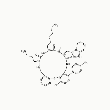 CN1C(=O)[C@H](CCCCCN)NC(=O)[C@H](CCCN)NCc2cccnc2Sc2c(Cl)ccc(-c3ccc(N)nc3)c2CNC(=O)[C@@H]1Cc1c[nH]c2ccccc12